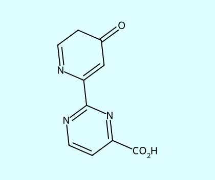 O=C1C=C(c2nccc(C(=O)O)n2)N=CC1